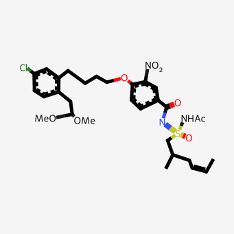 C/C=C\CC(C)CS(=O)(=NC(=O)c1ccc(OCCCCc2cc(Cl)ccc2CC(OC)OC)c([N+](=O)[O-])c1)NC(C)=O